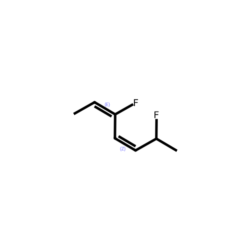 C/C=C(F)\C=C/C(C)F